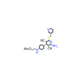 COCCNc1ccc(-c2c(C#N)c(N)nc(SCc3cccnc3)c2C#N)cc1